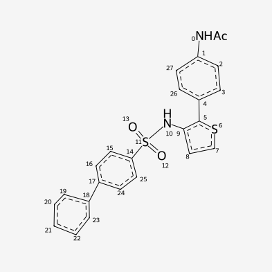 CC(=O)Nc1ccc(-c2sccc2NS(=O)(=O)c2ccc(-c3ccccc3)cc2)cc1